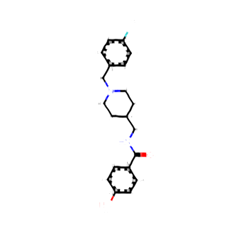 O=C(NCC1CCN(Cc2ccc(F)cc2)CC1)c1ccc(O)cc1